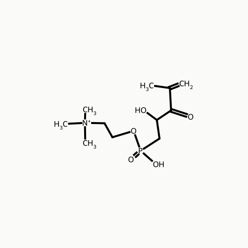 C=C(C)C(=O)C(O)CP(=O)(O)OCC[N+](C)(C)C